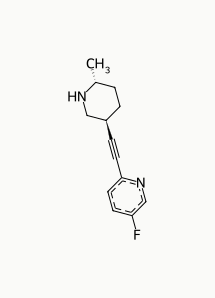 C[C@@H]1CC[C@@H](C#Cc2ccc(F)cn2)CN1